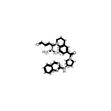 CN(C)[C@@H](/C=C/C=O)N1CCCc2cc(C(=O)N3CC[C@@H](Nc4ncc5ccccc5n4)C3)ccc21